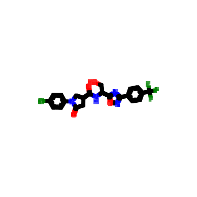 O=C(NC(CO)c1nc(-c2ccc(C(F)(F)F)cc2)no1)C1CC(=O)N(c2ccc(Cl)cc2)C1